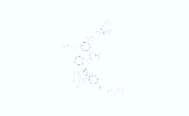 Cc1cc(OC[C@@H]2CCC(=O)N2)cc(C)c1-c1cccc2c1OC[C@H]2N(C(=O)C(F)(F)F)c1ccc2c(c1)OC[C@H]2CC(=O)O